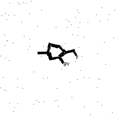 Cc1ccc(CF)c(C(C)C)c1